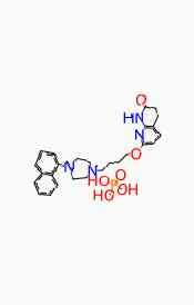 O=C1CCc2ccc(OCCCCN3CCN(c4cccc5ccccc45)CC3)nc2N1.O=P(O)(O)O